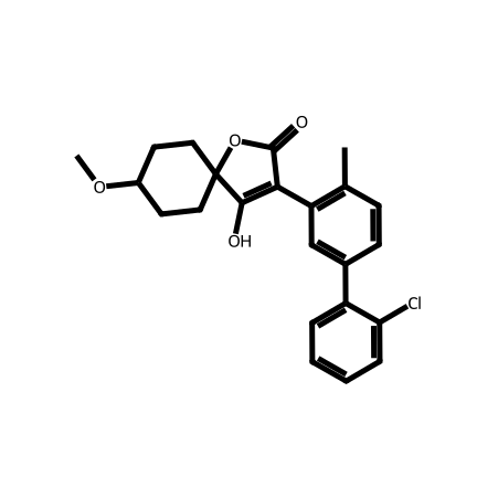 COC1CCC2(CC1)OC(=O)C(c1cc(-c3ccccc3Cl)ccc1C)=C2O